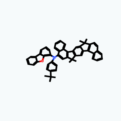 CC(C)(C)c1ccc(N(c2cc3c(c4ccccc24)-c2cc4c(cc2C3(C)C)-c2c(ccc3ccccc23)C4(C)C)c2cccc3c2oc2ccccc23)cc1